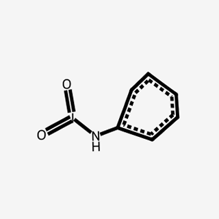 O=I(=O)Nc1ccccc1